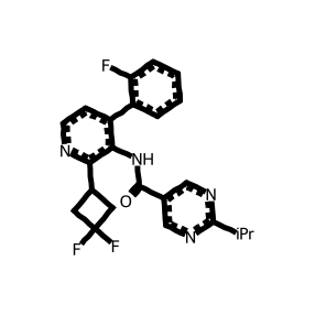 CC(C)c1ncc(C(=O)Nc2c(-c3ccccc3F)ccnc2C2CC(F)(F)C2)cn1